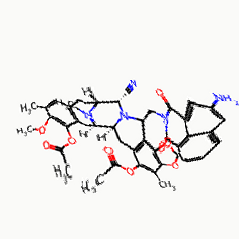 COc1c(C)cc2c(c1OC(C)=O)[C@@H]1[C@@H]3Cc4c(OC(C)=O)c(C)c5c(c4[C@H](CN4C(=O)c6cccc7cc(N)cc(c67)C4=O)N3[C@@H](C#N)[C@@H](C2)N1C)OCO5